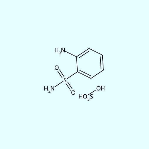 Nc1ccccc1S(N)(=O)=O.O=S(=O)(O)O